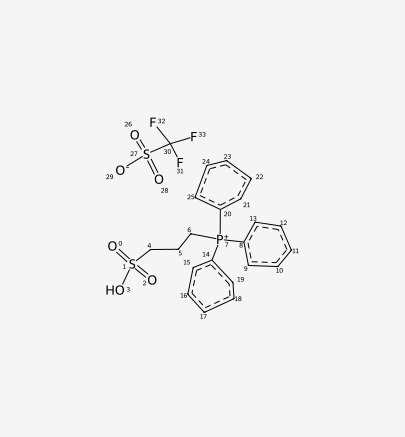 O=S(=O)(O)CCC[P+](c1ccccc1)(c1ccccc1)c1ccccc1.O=S(=O)([O-])C(F)(F)F